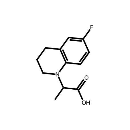 CC(C(=O)O)N1CCCc2cc(F)ccc21